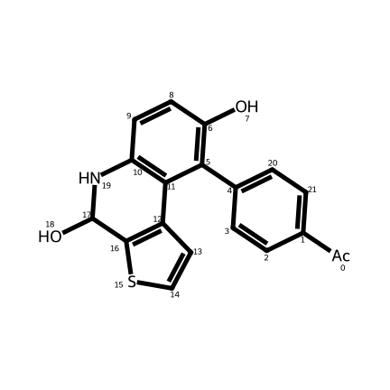 CC(=O)c1ccc(-c2c(O)ccc3c2-c2ccsc2C(O)N3)cc1